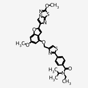 CCN(C(=O)c1ccc(-c2nc(COc3cc(OC)cc4oc(-c5cn6nc(OC)sc6n5)cc34)cs2)cc1)C(C)C